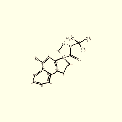 CC(C)(C)OC(=O)[N@@+]1(CCl)CCc2c1cc(O)c1ccccc21